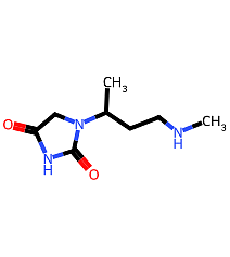 CNCCC(C)N1CC(=O)NC1=O